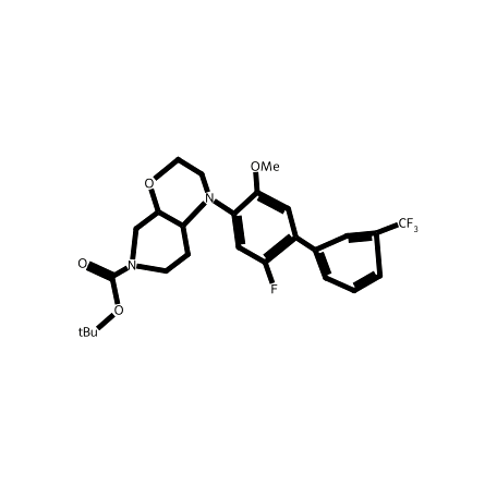 COc1cc(-c2cccc(C(F)(F)F)c2)c(F)cc1N1CCOC2CN(C(=O)OC(C)(C)C)CCC21